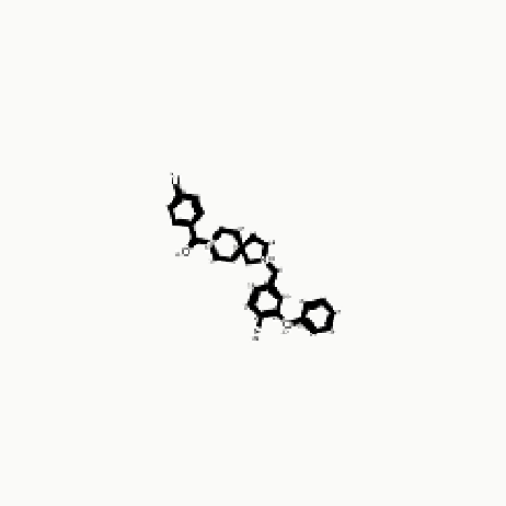 O=C(c1ccc(Cl)cc1)N1CCC2(CCN(Cc3ccc(F)c(Oc4ccccc4)c3)C2)CC1